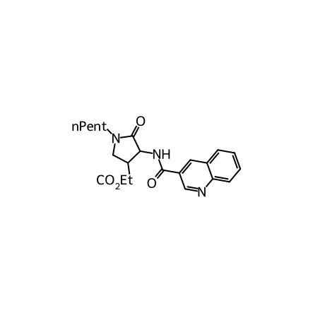 CCCCCN1CC(C(=O)OCC)C(NC(=O)c2cnc3ccccc3c2)C1=O